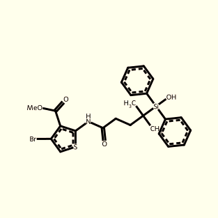 COC(=O)c1c(Br)csc1NC(=O)CCC(C)(C)[Si](O)(c1ccccc1)c1ccccc1